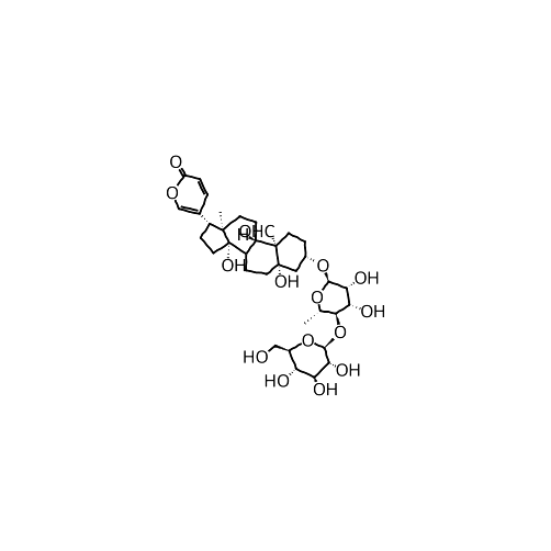 C[C@@H]1O[C@@H](O[C@H]2CC[C@]3(C=O)[C@H]4CC[C@]5(C)[C@@H](c6ccc(=O)oc6)CC[C@]5(O)C4CC[C@]3(O)C2)[C@H](O)[C@H](O)[C@H]1O[C@@H]1O[C@H](CO)[C@@H](O)[C@H](O)[C@H]1O